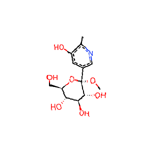 CO[C@@]1(c2cnc(C)c(O)c2)O[C@H](CO)[C@@H](O)[C@H](O)[C@H]1O